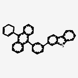 C1=CCCC(c2c3ccccc3c(-c3cccc(-c4ccc5c(c4)sc4ccccc45)c3)c3ccccc23)=C1